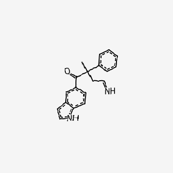 CC(CC=N)(C(=O)c1ccc2[nH]ccc2c1)c1ccccc1